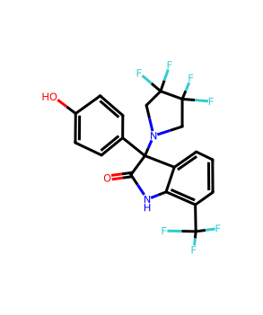 O=C1Nc2c(C(F)(F)F)cccc2C1(c1ccc(O)cc1)N1CC(F)(F)C(F)(F)C1